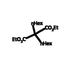 CCCCCCC(CCCCCC)(C(=O)OCC)C(=O)OCC